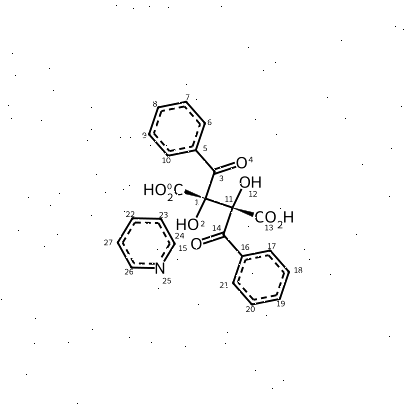 O=C(O)[C@@](O)(C(=O)c1ccccc1)[C@@](O)(C(=O)O)C(=O)c1ccccc1.c1ccncc1